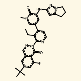 CCc1c(-c2cc(Nc3cc4n(n3)CCC4)c(=O)n(C)c2)ccnc1-n1ncc2cc(C(C)(C)C)cc(F)c2c1=O